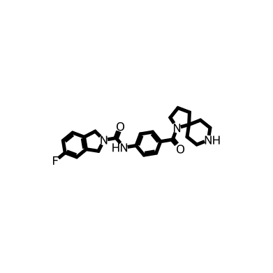 O=C(Nc1ccc(C(=O)N2CCCC23CCNCC3)cc1)N1Cc2ccc(F)cc2C1